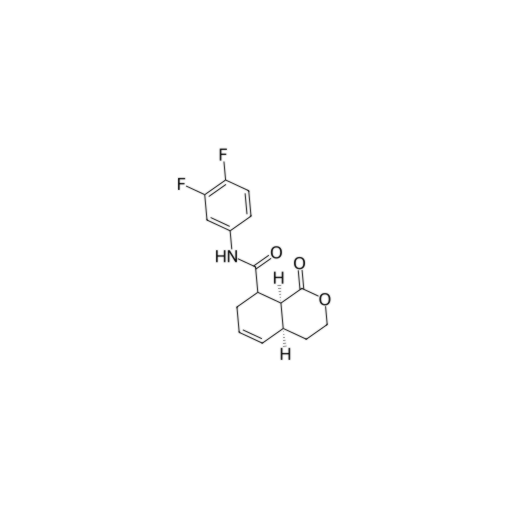 O=C(Nc1ccc(F)c(F)c1)C1CC=C[C@@H]2CCOC(=O)[C@H]12